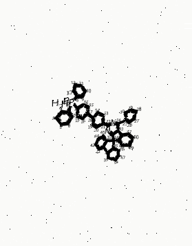 P[PH](c1ccccc1)(c1ccccc1)c1ccc(-c2ccc(-c3nc(-c4ccccc4)c4c(n3)C3(c5ccccc5-c5ccccc53)c3ccccc3-4)cc2)cc1